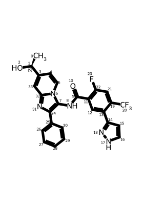 C[C@H](O)c1ccn2c(NC(=O)c3cc(-c4cc[nH]n4)c(C(F)(F)F)cc3F)c(-c3ccccc3)nc2c1